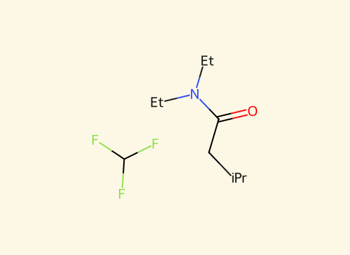 CCN(CC)C(=O)CC(C)C.FC(F)F